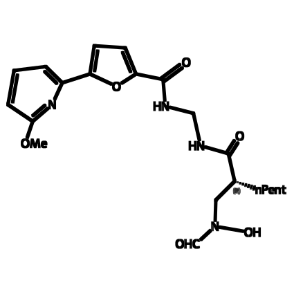 CCCCC[C@H](CN(O)C=O)C(=O)NCNC(=O)c1ccc(-c2cccc(OC)n2)o1